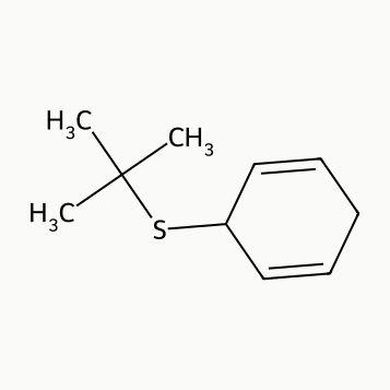 CC(C)(C)SC1C=CCC=C1